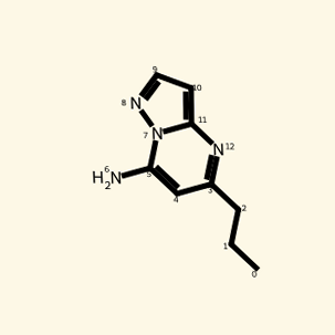 CCCc1cc(N)n2nccc2n1